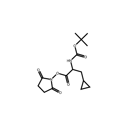 CC(C)(C)OC(=O)NC(CC1CC1)C(=O)ON1C(=O)CCC1=O